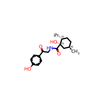 CC(C)[C@@H]1CC[C@@H](C)C[C@@]1(O)C(=O)NCC(=O)c1ccc(O)cc1